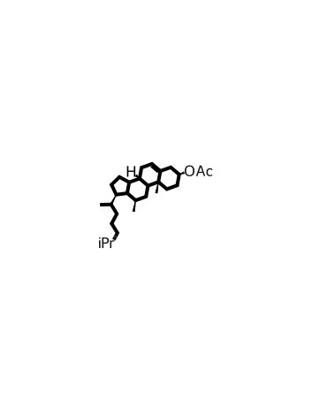 CC(=O)O[C@H]1CC[C@@]2(C)C(=CC[C@H]3C4CC[C@H](C(C)CCCC(C)C)C4[C@H](C)CC32)C1